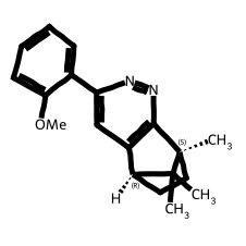 COc1ccccc1-c1cc2c(nn1)[C@@]1(C)CC[C@@H]2C1(C)C